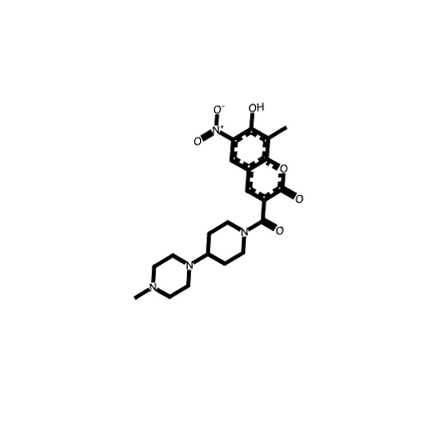 Cc1c(O)c([N+](=O)[O-])cc2cc(C(=O)N3CCC(N4CCN(C)CC4)CC3)c(=O)oc12